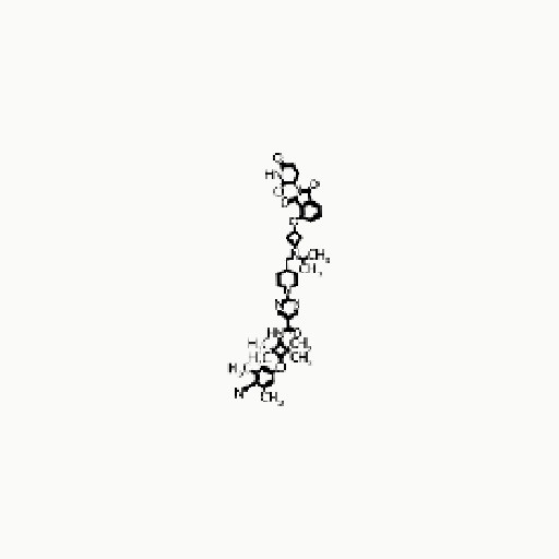 Cc1cc(OC2C(C)(C)C(NC(=O)c3cnc(N4CCC(CN(C(C)C)C5CC(Oc6cccc7c6C(=O)N([C@@H]6CCC(=O)NC6=O)C7=O)C5)CC4)nc3)C2(C)C)cc(C)c1C#N